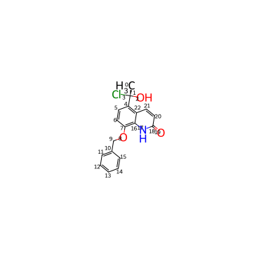 C[C@](O)(Cl)c1ccc(OCc2ccccc2)c2[nH]c(=O)ccc12